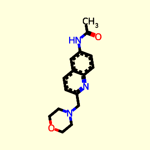 CC(=O)Nc1ccc2nc(CN3CCOCC3)ccc2c1